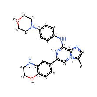 Cc1cnc2c(Nc3ccc(N4CCOCC4)cc3)nc(-c3ccc4c(c3)NCCO4)cn12